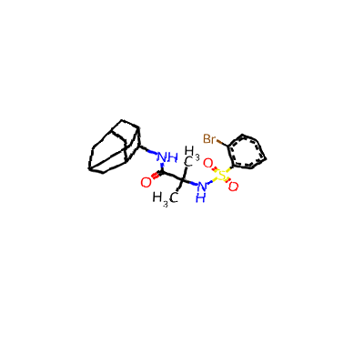 CC(C)(NS(=O)(=O)c1ccccc1Br)C(=O)NC1C2CC3CC(C2)CC1C3